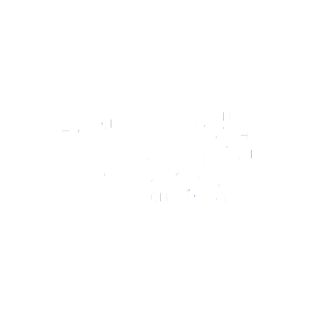 COc1ncc(-c2ccc(C(=O)OCC(C)C)cc2C)cc1B1OC(C)(C)C(C)(C)O1